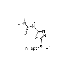 CCCCCCC[S+]([O-])c1nnc(N(C)C(=O)N(C)C)s1